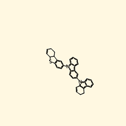 C1=Cc2c(c3ccccc3n2-c2ccc3c(c2)c2ccccc2n3-c2ccc3c(c2)C2CCC=CC2S3)CC1